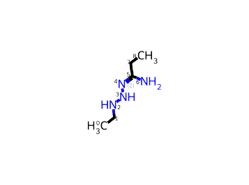 CCNN/N=C(\N)CC